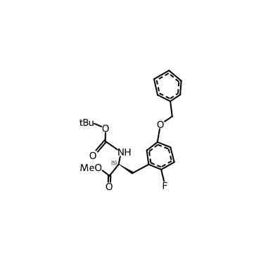 COC(=O)[C@H](Cc1cc(OCc2ccccc2)ccc1F)NC(=O)OC(C)(C)C